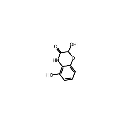 O=C1Nc2c(O)cccc2OC1O